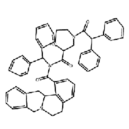 O=C(C(c1ccccc1)c1ccccc1)N1CCNC(C(=O)N(C(=O)c2cccc3c2C2Cc4ccccc4CN2CC3)C(c2ccccc2)c2ccccc2)C1